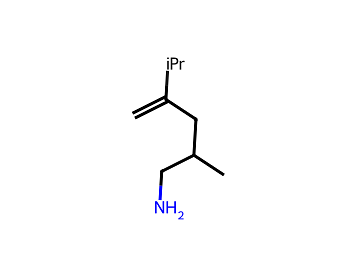 C=C(CC(C)CN)C(C)C